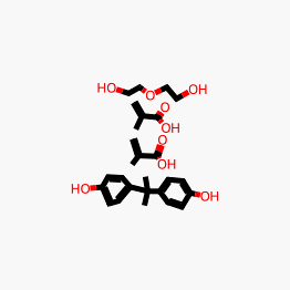 C=C(C)C(=O)O.C=C(C)C(=O)O.CC(C)(c1ccc(O)cc1)c1ccc(O)cc1.OCCOCCO